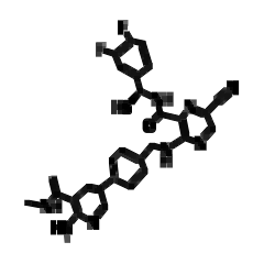 C=C(NC)c1cc(-c2ccc(CNc3ncc(C#N)nc3C(=O)N[C@@H](S)c3ccc(F)c(F)c3)cc2)cnc1NC